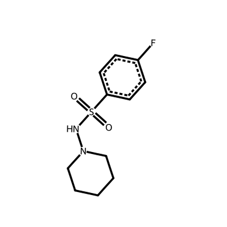 O=S(=O)(NN1CCCCC1)c1ccc(F)cc1